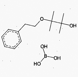 CC(C)(O)C(C)(C)OCCc1ccccc1.OB(O)O